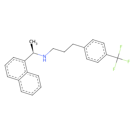 C[C@@H](NCCCc1ccc(C(F)(F)F)cc1)c1cccc2ccccc12